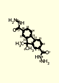 CC1(C)c2cc(C(=O)NN)ccc2-c2ccc(C(=O)NN)cc21